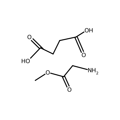 COC(=O)CN.O=C(O)CCC(=O)O